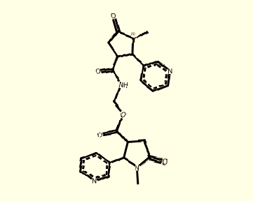 C[C@@H]1C(=O)CC(C(=O)NCOC(=O)C2CC(=O)N(C)C2c2cccnc2)C1c1cccnc1